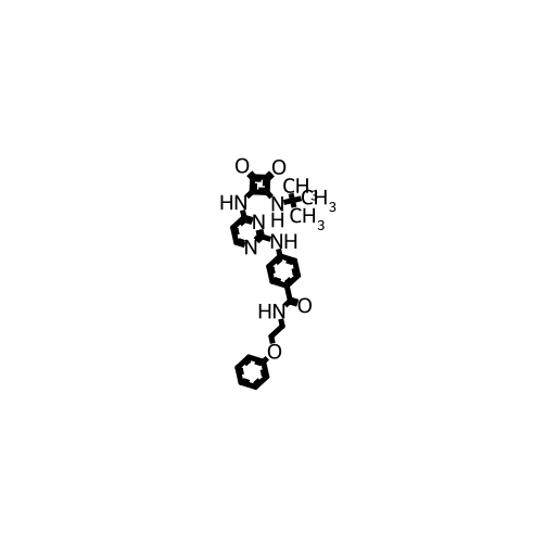 CC(C)(C)Nc1c(Nc2ccnc(Nc3ccc(C(=O)NCCOc4ccccc4)cc3)n2)c(=O)c1=O